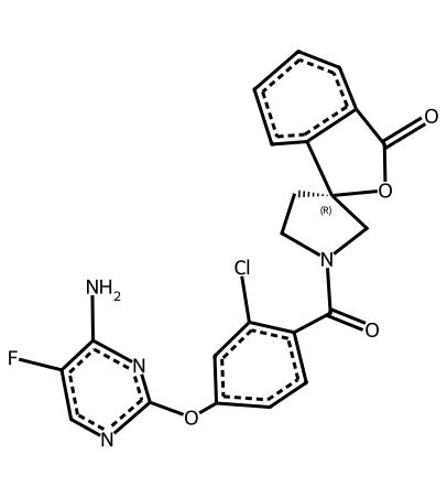 Nc1nc(Oc2ccc(C(=O)N3CC[C@@]4(C3)OC(=O)c3ccccc34)c(Cl)c2)ncc1F